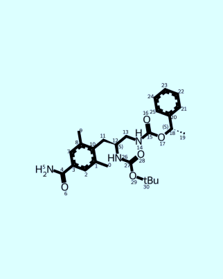 Cc1cc(C(N)=O)cc(C)c1C[C@@H](CNC(=O)O[C@@H](C)c1ccccc1)NC(=O)OC(C)(C)C